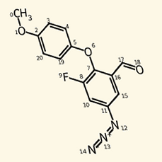 COc1ccc(Oc2c(F)cc(N=[N+]=[N-])cc2C=O)cc1